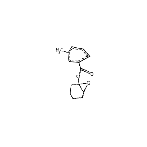 Cc1cccc(C(=O)OC23CCCCC2O3)c1